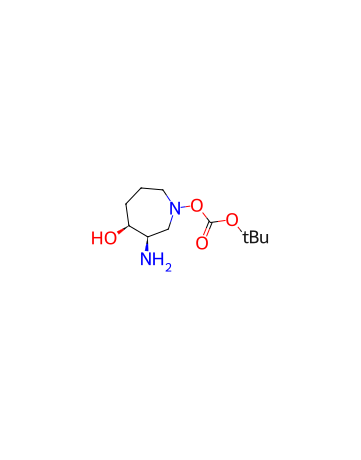 CC(C)(C)OC(=O)ON1CCC[C@H](O)[C@H](N)C1